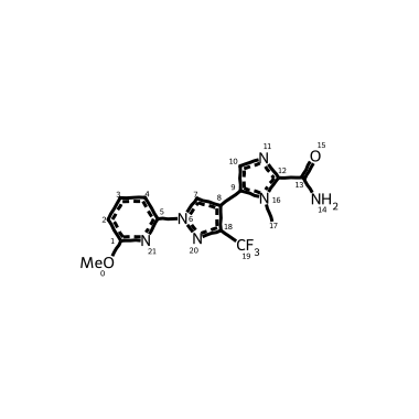 COc1cccc(-n2cc(-c3cnc(C(N)=O)n3C)c(C(F)(F)F)n2)n1